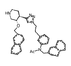 CC(=O)N(Cc1ccc2ccccc2c1)c1cccc(CCn2cc([C@@H]3CCNC[C@H]3OCc3ccc4ccccc4c3)nn2)c1